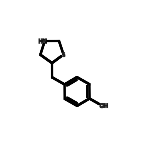 Oc1ccc(CC2CNCS2)cc1